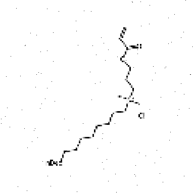 C=CC(=O)OCCC[N+](C)(C)CCCCCCCCCCCCCCCCCC.[Cl-]